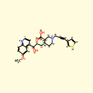 COc1ccc2nccc(C(O)CC[C@@H]3CCN(CC#Cc4ccsc4)C[C@@H]3C(=O)O)c2c1